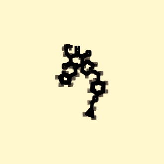 CC(C)CC1NC(=O)C2(CCN(Cc3ccc(OCC4CC4)cc3)CC2)N(Cc2cccs2)C1=O